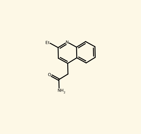 CCc1cc(CC(N)=O)c2ccccc2n1